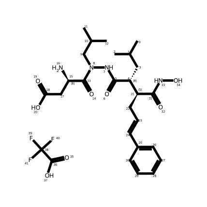 CC(C)C[C@@H](C(=O)NN(CC(C)C)C(=O)[C@H](N)CC(=O)O)[C@H](CC=Cc1ccccc1)C(=O)NO.O=C(O)C(F)(F)F